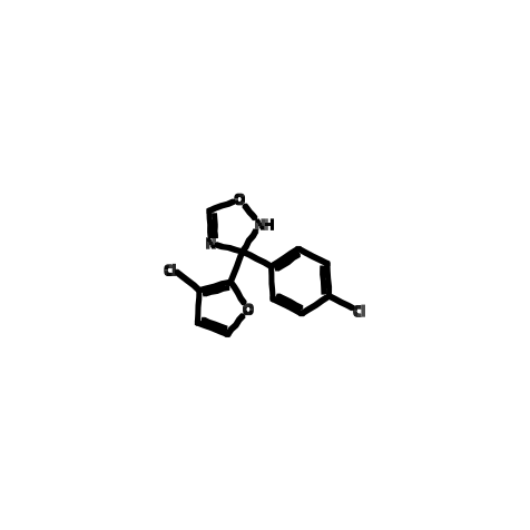 Clc1ccc(C2(c3occc3Cl)N=CON2)cc1